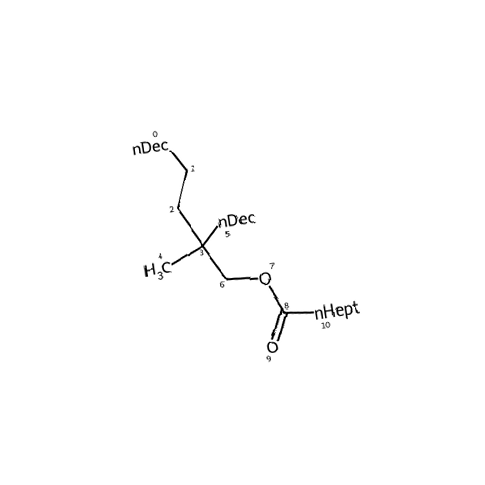 CCCCCCCCCCCCC(C)(CCCCCCCCCC)COC(=O)CCCCCCC